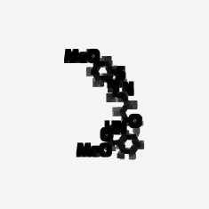 COC(=O)c1ccccc1NC(=O)CCc1cn2c(n1)sc1cc(OC)ccc12